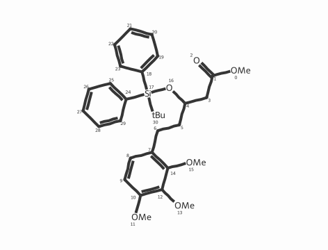 COC(=O)CC(CCc1ccc(OC)c(OC)c1OC)O[Si](c1ccccc1)(c1ccccc1)C(C)(C)C